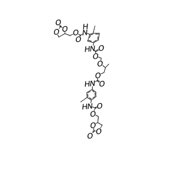 Cc1cc(NC(=O)OCC(C)OCOC(=O)Nc2ccc(C)c(NC(=O)OCC3COC(=O)O3)c2)ccc1NC(=O)OCC1COC(=O)O1